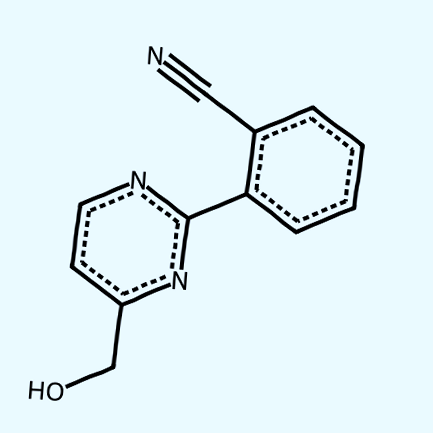 N#Cc1ccccc1-c1nccc(CO)n1